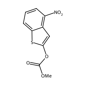 COC(=O)Oc1cc2c([N+](=O)[O-])cccc2s1